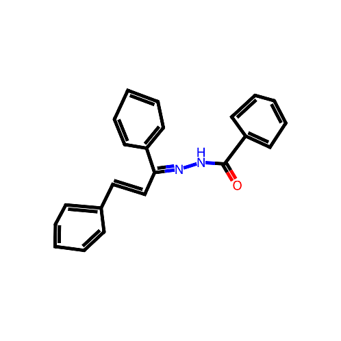 O=C(N/N=C(/C=C/c1ccccc1)c1ccccc1)c1ccccc1